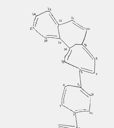 C=Cc1ccc(-c2ccc3ccc4ccccc4c3c2)cc1